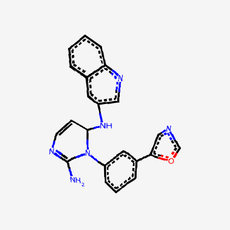 NC1=NC=CC(Nc2cnc3ccccc3c2)N1c1cccc(-c2cnco2)c1